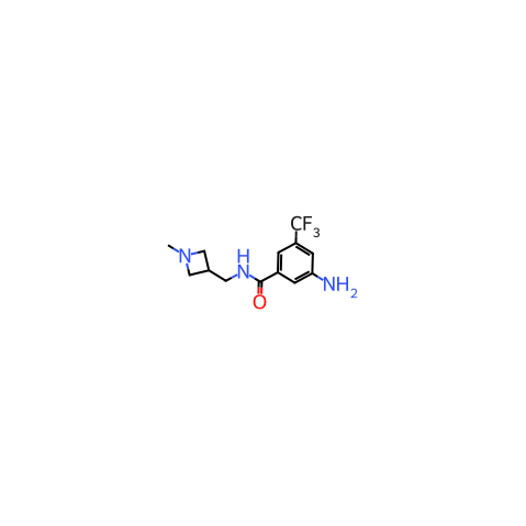 CN1CC(CNC(=O)c2cc(N)cc(C(F)(F)F)c2)C1